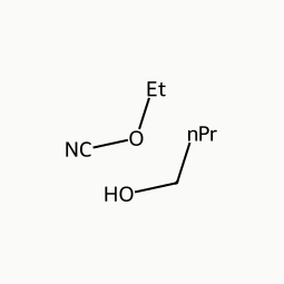 CCCCO.CCOC#N